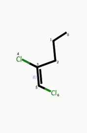 CCC/C(Cl)=[C]\Cl